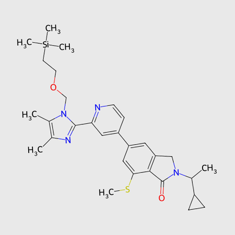 CSc1cc(-c2ccnc(-c3nc(C)c(C)n3COCC[Si](C)(C)C)c2)cc2c1C(=O)N(C(C)C1CC1)C2